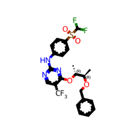 C[C@@H](OCc1ccccc1)[C@@H](C)Oc1nc(Nc2ccc(S(=O)(=O)C(F)F)cc2)ncc1C(F)(F)F